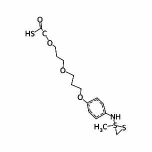 CS1(Nc2ccc(OCCCOCCCOCC(=O)S)cc2)CS1